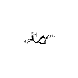 CC(S)CC1CCN(C)CC1